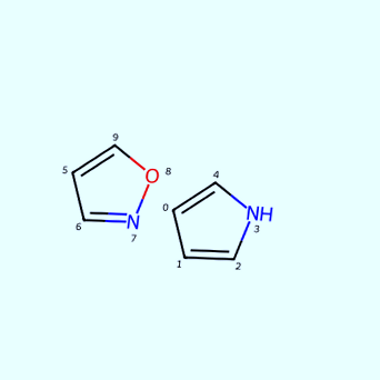 c1cc[nH]c1.c1cnoc1